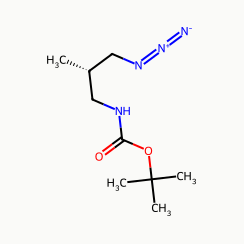 C[C@H](CN=[N+]=[N-])CNC(=O)OC(C)(C)C